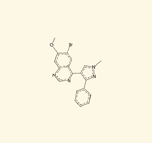 COc1cc2ncnc(-c3cn(C)nc3-c3ccccc3)c2cc1Br